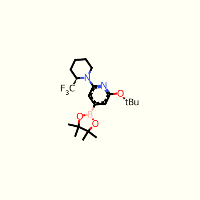 CC(C)(C)Oc1cc(B2OC(C)(C)C(C)(C)O2)cc(N2CCCC[C@@H]2C(F)(F)F)n1